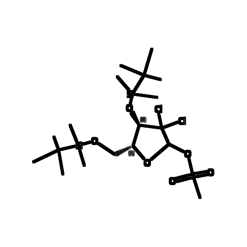 CC(C)(C)[Si](C)(C)OC[C@H]1OC(OS(C)(=O)=O)C(Cl)(Cl)[C@@H]1O[Si](C)(C)C(C)(C)C